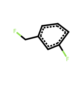 FCc1cccc(F)c1